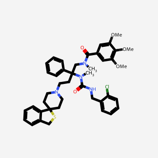 COc1cc(C(=O)N(C)CC(CCN2CCC3(CC2)SCc2ccccc23)(c2ccccc2)N(C)C(=O)NCc2ccccc2Cl)cc(OC)c1OC